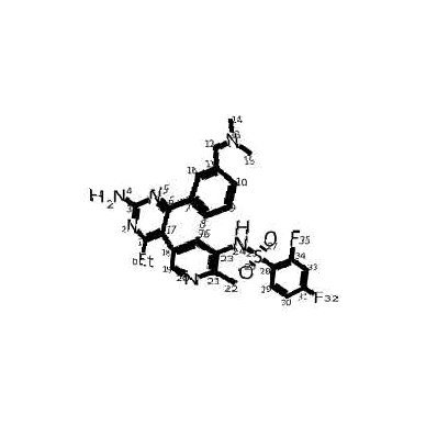 CCc1nc(N)nc(-c2cccc(CN(C)C)c2)c1-c1cnc(C)c(NS(=O)(=O)c2ccc(F)cc2F)c1